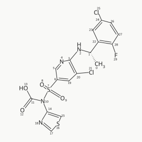 C[C@H](Nc1ncc(S(=O)(=O)N(C(=O)O)c2cscn2)cc1Cl)c1cc(Cl)ccc1F